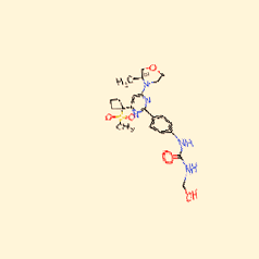 C[C@H]1COCCN1c1cc(C2(S(C)(=O)=O)CCC2)nc(-c2ccc(NC(=O)NCO)cc2)n1